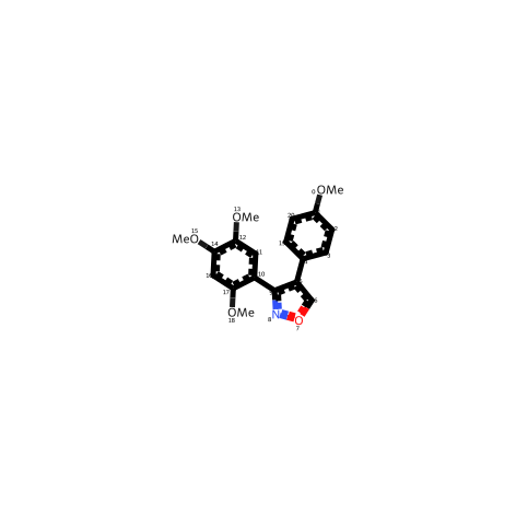 COc1ccc(-c2conc2-c2cc(OC)c(OC)cc2OC)cc1